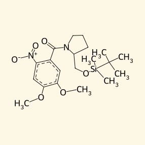 COc1cc(C(=O)N2CCCC2CO[Si](C)(C)C(C)(C)C)c([N+](=O)[O-])cc1OC